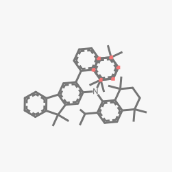 CC(C)c1ccc2c(c1N(c1ccccc1)c1cc3c(cc1-c1cccc4c1C(C)(C)CCC4(C)C)-c1ccccc1C3(C)C)C(C)(C)CCC2(C)C